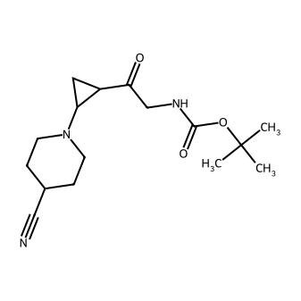 CC(C)(C)OC(=O)NCC(=O)C1CC1N1CCC(C#N)CC1